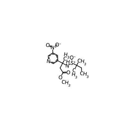 CCC(C)(C)[S@@+]([O-])NC(C)(CC(=O)OC)c1cncc([N+](=O)[O-])c1